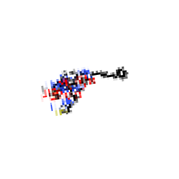 CC(C)C[C@H](NC(=O)CN(CCCCCCCCc1ccccc1)C(=O)CCOCCOCCNC[C@@H](N)CS)C(=O)N[C@@H](Cc1cnc[nH]1)C(=O)N[C@@H](CO)C(=O)N[C@H](C(N)=O)[C@@H](C)OP(=O)(O)O